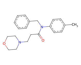 Cc1ccc(N(Cc2ccccc2)C(=O)CCN2CCOCC2)cc1